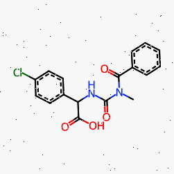 CN(C(=O)NC(C(=O)O)c1ccc(Cl)cc1)C(=O)c1ccccc1